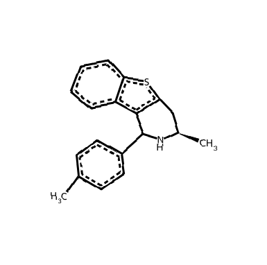 Cc1ccc(C2N[C@H](C)Cc3sc4ccccc4c32)cc1